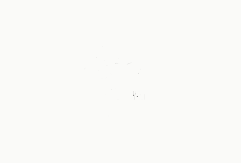 C=Cc1ccc2c(c1)-c1cc(C=C)c[c]([Zr](=[CH2])([CH2]C)([C]3=CC(C(C)(C)C)=CC3C)[c]3ccccc3)c1C2.Cl.Cl